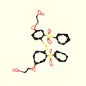 O=S(=O)(c1ccccc1)c1cc(OCCO)ccc1Sc1ccc(OCCO)cc1S(=O)(=O)c1ccccc1